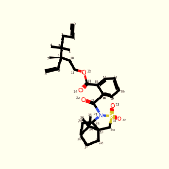 C=CCC(C)(C)[C@@](C)(C=C)CCOC(=O)c1ccccc1C(=O)N1C2CC3CCC2(CS1(=O)=O)C3(C)C